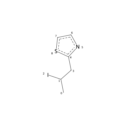 CC(I)Cc1nccs1